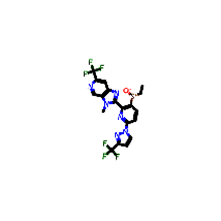 CC[S+]([O-])c1ccc(-n2ccc(C(F)(F)F)n2)nc1-c1nc2cc(C(F)(F)F)ncc2n1C